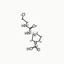 O=C(NCCCl)N[C@@H]1CCCN(C(=O)O)C1